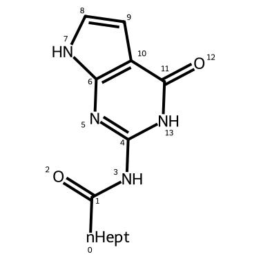 CCCCCCCC(=O)Nc1nc2[nH]ccc2c(=O)[nH]1